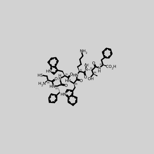 CC(=O)N(C(=O)[C@H](CCCCN)NC(=O)[C@@H](Cc1c[nH]c2ccccc12)NC(=O)[C@H](Cc1c[nH]c2ccccc12)NC(=O)[C@H](Cc1ccccc1)NC(=O)[C@@H](N)CS)[C@H](C(=O)N[C@@H](Cc1ccccc1)C(=O)O)[C@@H](C)O